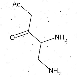 CC(=O)CC(=O)C(N)CN